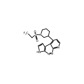 O=S(=O)(CC(F)(F)F)N1CCCC(c2ccnc3nnc4[nH]ccc4c23)C1